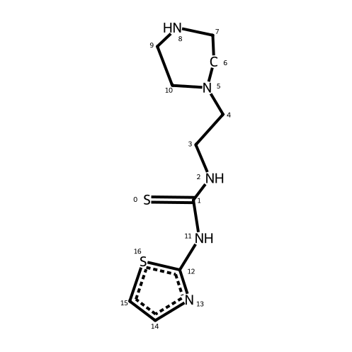 S=C(NCCN1CCNCC1)Nc1nccs1